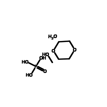 C1COCCO1.CO.O.O=P(O)(O)O